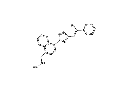 CCCCNCc1ccc(-c2nnc(/C=C(\CCC)c3ccccc3)o2)c2ccccc12